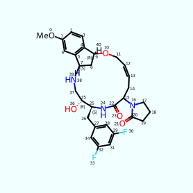 COc1ccc2c(c1)[C@@H]1C[C@H]2OCC=CCC(N2CCCC2=O)C(=O)N[C@@H](Cc2cc(F)cc(F)c2)[C@H](O)CN1